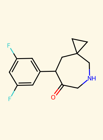 O=C1CNCC2(CC2)CC1c1cc(F)cc(F)c1